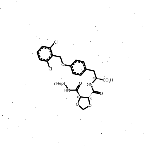 CCCCCCCNC(=O)[C@@H]1OCO[C@H]1C(=O)N[C@@H](Cc1ccc(OCc2c(Cl)cccc2Cl)cc1)C(=O)O